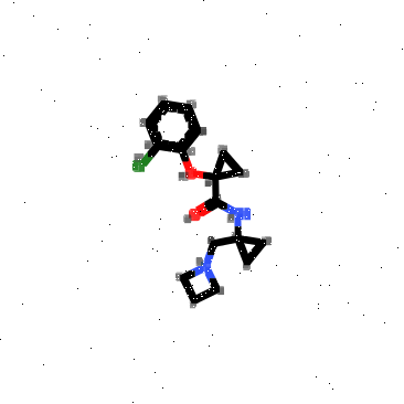 O=C(NC1(CN2CCC2)CC1)C1(Oc2ccccc2Cl)CC1